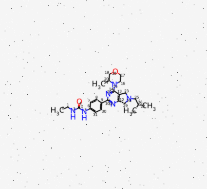 CCNC(=O)Nc1ccc(-c2nc3c(c(N4CCOCC4C)n2)CN(CC(C)C)C3)cc1